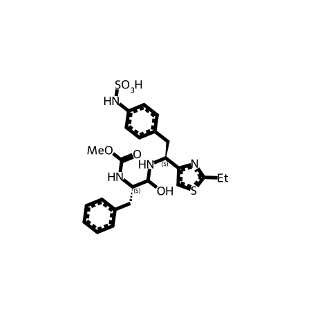 CCc1nc([C@H](Cc2ccc(NS(=O)(=O)O)cc2)NC(O)[C@H](Cc2ccccc2)NC(=O)OC)cs1